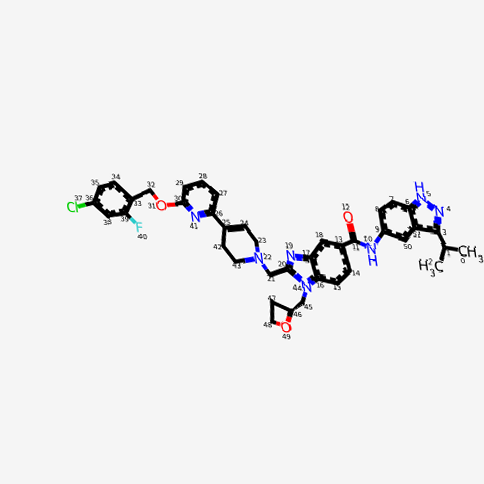 CC(C)c1n[nH]c2ccc(NC(=O)c3ccc4c(c3)nc(CN3CC=C(c5cccc(OCc6ccc(Cl)cc6F)n5)CC3)n4C[C@@H]3CCO3)cc12